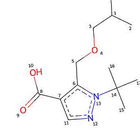 CC(C)COCc1c(C(=O)O)cnn1C(C)(C)C